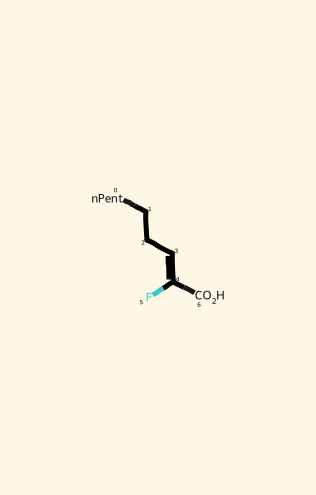 CCCCCCCC=C(F)C(=O)O